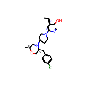 C=N/C(=C\C(=C/C)CO)N1CCC(N2C[C@H](C)OC[C@@H]2Cc2ccc(Cl)cc2)CC1